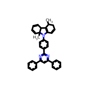 CC1CC=CC2=C1C1C=CC=CC1(C)N2c1ccc(-c2nc(-c3ccccc3)cc(-c3ccccc3)n2)cc1